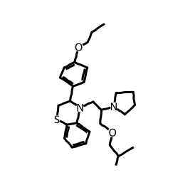 CCCOc1ccc(C2CSc3ccccc3N2CC(COCC(C)C)N2CCCC2)cc1